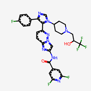 O=C(Nc1cn2nc(-c3c(-c4ccc(F)cc4)ncn3C3CCN(CC(O)C(F)(F)F)CC3)ccc2n1)c1cc(F)nc(F)c1